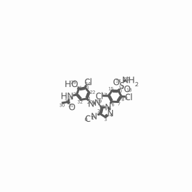 [C-]#[N+]c1cnn(-c2cc(Cl)c(S(N)(=O)=O)cc2Cl)c1N=Nc1cc(Cl)c(O)c(NC(C)=O)c1